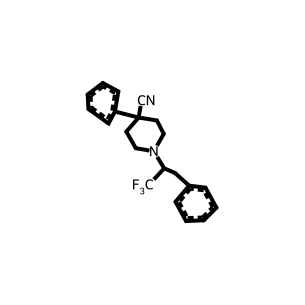 N#CC1(c2ccccc2)CCN(C(Cc2ccccc2)C(F)(F)F)CC1